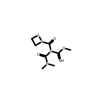 COC(=N)N(C(=O)N(C)C)C(=O)N1CCS1